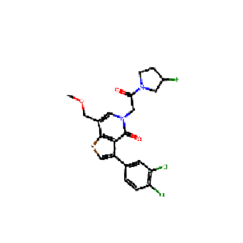 COCc1cn(CC(=O)N2CCC(F)C2)c(=O)c2c(-c3ccc(Cl)c(Cl)c3)csc12